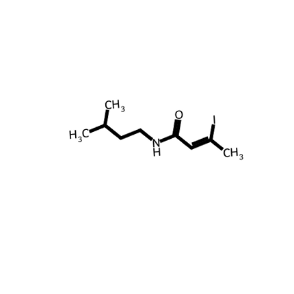 C/C(I)=C/C(=O)NCCC(C)C